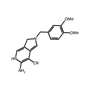 COc1ccc(CN2C=C3C(=CNC(N)=C3C#N)C2)cc1OC